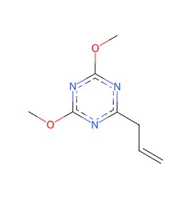 C=CCc1nc(OC)nc(OC)n1